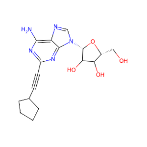 Nc1nc(C#CC2CCCC2)nc2c1ncn2[C@@H]1O[C@H](CO)C(O)C1O